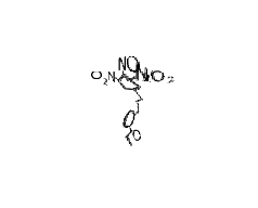 C=CC(=O)OCCCc1cc([N+](=O)[O-])c([N+](=O)[O-])c([N+](=O)[O-])c1